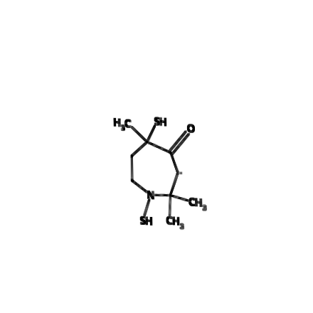 CC1(S)CCN(S)C(C)(C)[CH]C1=O